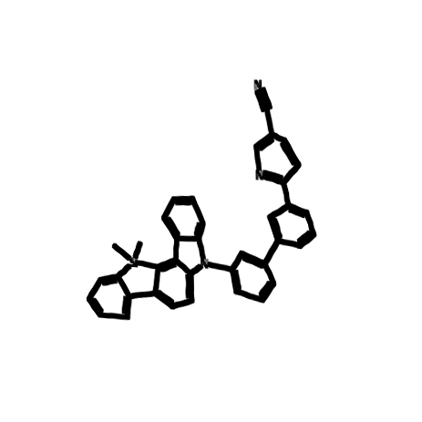 C[Si]1(C)c2ccccc2-c2ccc3c(c21)c1ccccc1n3-c1cccc(-c2cccc(-c3ccc(C#N)cn3)c2)c1